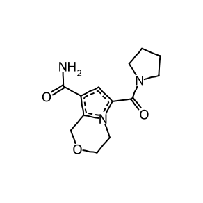 NC(=O)c1cc(C(=O)N2CCCC2)n2c1COCC2